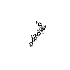 Cn1cc(-c2cnc3c(Oc4ccc(NC(=O)C5(C(=O)Nc6ccc(F)cc6)CC5)cc4)ncnc3c2)cn1